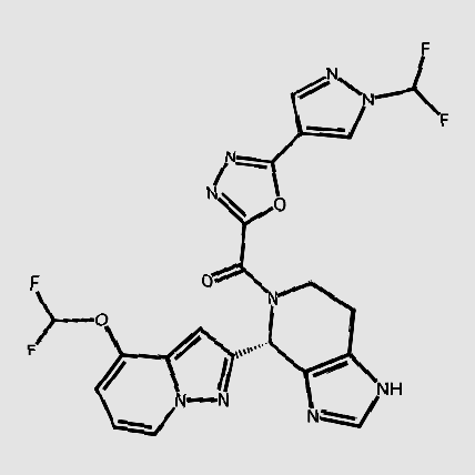 O=C(c1nnc(-c2cnn(C(F)F)c2)o1)N1CCc2[nH]cnc2[C@@H]1c1cc2c(OC(F)F)cccn2n1